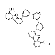 Cc1cccc2c1oc1c(-c3cccc(-c4cncc(-c5cccc(-c6cccc7c6oc6c(C)cccc67)c5)c4)c3)cccc12